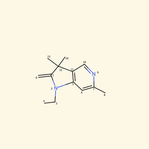 C=C1N(CC)c2cc(C)ncc2C1(C)C